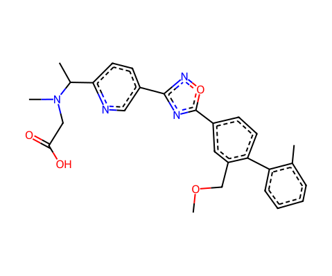 COCc1cc(-c2nc(-c3ccc(C(C)N(C)CC(=O)O)nc3)no2)ccc1-c1ccccc1C